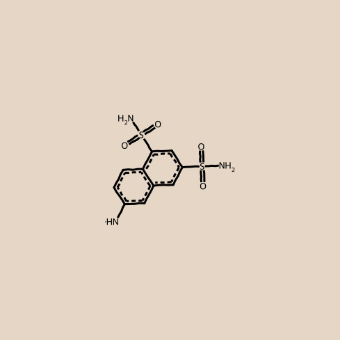 [NH]c1ccc2c(S(N)(=O)=O)cc(S(N)(=O)=O)cc2c1